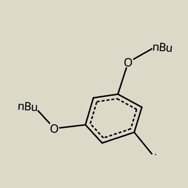 [CH2]c1cc(OCCCC)cc(OCCCC)c1